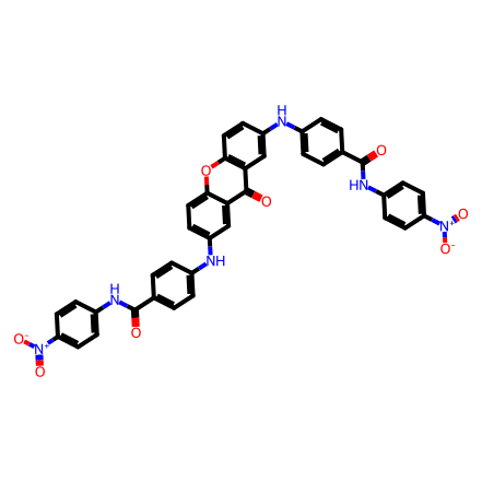 O=C(Nc1ccc([N+](=O)[O-])cc1)c1ccc(Nc2ccc3oc4ccc(Nc5ccc(C(=O)Nc6ccc([N+](=O)[O-])cc6)cc5)cc4c(=O)c3c2)cc1